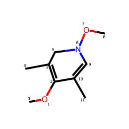 COC1=C(C)CN(OC)C=C1C